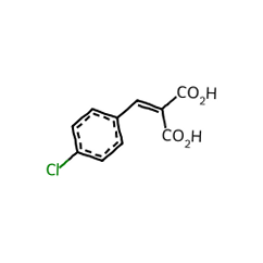 O=C(O)C(=Cc1ccc(Cl)cc1)C(=O)O